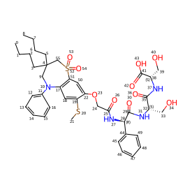 CCCCC1(CCCC)CN(c2ccccc2)c2cc(SC)c(OCC(=O)N[C@@H](C(=O)N[C@@H](CO)C(=O)N[C@@H](CO)C(=O)O)c3ccccc3)cc2S(=O)(=O)C1